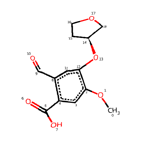 COc1cc(C(=O)O)c(C=O)cc1O[C@H]1CCOC1